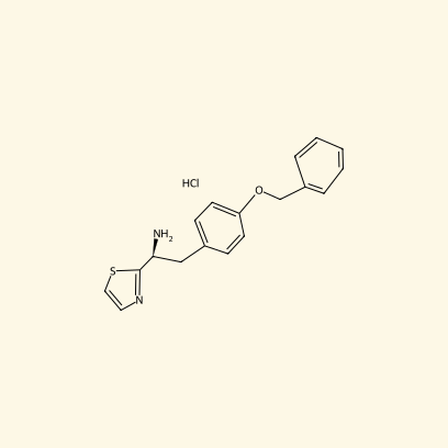 Cl.N[C@@H](Cc1ccc(OCc2ccccc2)cc1)c1nccs1